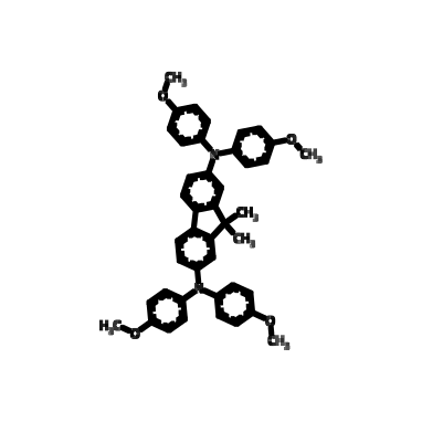 COc1ccc(N(c2ccc(OC)cc2)c2ccc3c(c2)C(C)(C)c2cc(N(c4ccc(OC)cc4)c4ccc(OC)cc4)ccc2-3)cc1